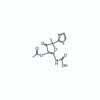 CC(=O)OC1=C(NC(=O)O)OC(C)(c2nccs2)C1=O